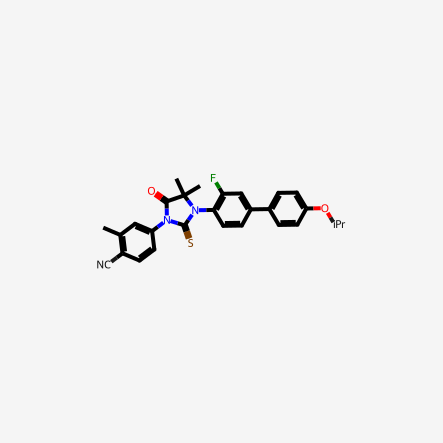 Cc1cc(N2C(=O)C(C)(C)N(c3ccc(-c4ccc(OC(C)C)cc4)cc3F)C2=S)ccc1C#N